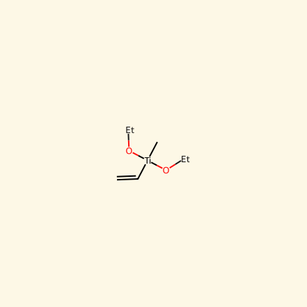 C=[CH][Ti]([CH3])([O]CC)[O]CC